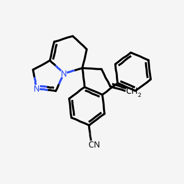 C=CCC1(c2ccc(C#N)cc2-c2ccccc2)CCC=C2CN=CN21